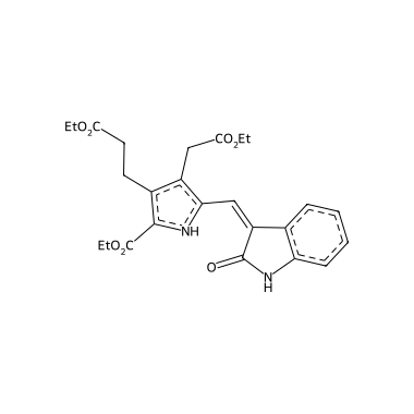 CCOC(=O)CCc1c(C(=O)OCC)[nH]c(C=C2C(=O)Nc3ccccc32)c1CC(=O)OCC